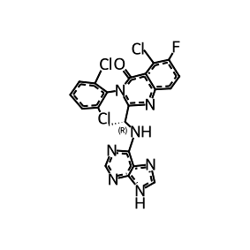 C[C@@H](Nc1ncnc2[nH]cnc12)c1nc2ccc(F)c(Cl)c2c(=O)n1-c1c(Cl)cccc1Cl